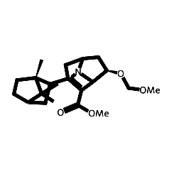 COCO[C@@H]1CC2CC(C3CC4CC[C@@]3(C)C4(C)C)=C(C(=O)OC)C1N2C